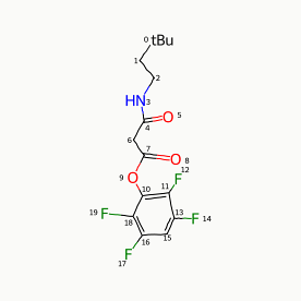 CC(C)(C)CCNC(=O)CC(=O)Oc1c(F)c(F)cc(F)c1F